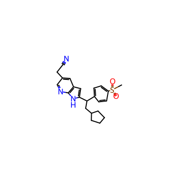 CS(=O)(=O)c1ccc(C(CC2CCCC2)c2cc3cc(CC#N)cnc3[nH]2)cc1